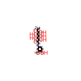 [2H]C(=O)[C@H](O)[C@@H](O)[C@H](O)[C@H](O)C(O)C(=O)/C=C/c1ccc(O)c(OC)c1